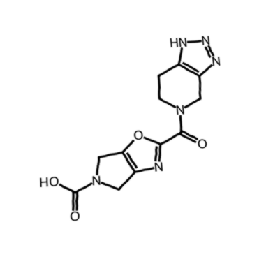 O=C(O)N1Cc2nc(C(=O)N3CCc4[nH]nnc4C3)oc2C1